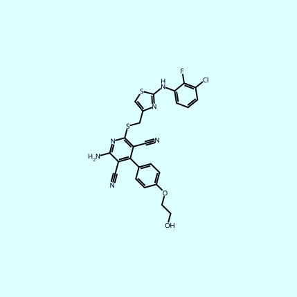 N#Cc1c(N)nc(SCc2csc(Nc3cccc(Cl)c3F)n2)c(C#N)c1-c1ccc(OCCO)cc1